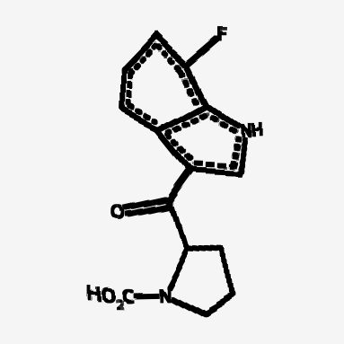 O=C(c1c[nH]c2c(F)cccc12)C1CCCN1C(=O)O